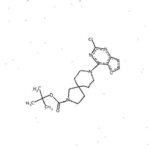 CC(C)(C)OC(=O)N1CCC2(CCN(c3nc(Cl)nc4ccoc34)CC2)C1